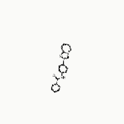 O=C(Nc1ccc(-c2cn3ccccc3n2)cc1)c1ccccc1